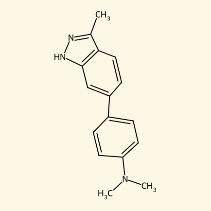 Cc1n[nH]c2cc(-c3ccc(N(C)C)cc3)ccc12